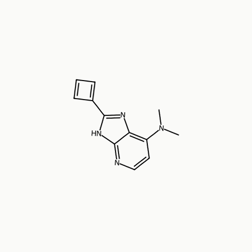 CN(C)c1ccnc2[nH]c(C3=CC=C3)nc12